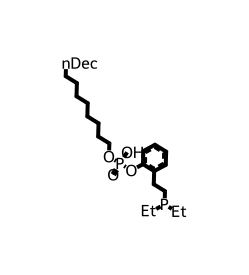 CCCCCCCCCCCCCCCCCCOP(=O)(O)Oc1ccccc1CCP(CC)CC